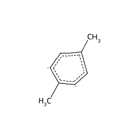 Cc1[c]cc(C)c[c]1